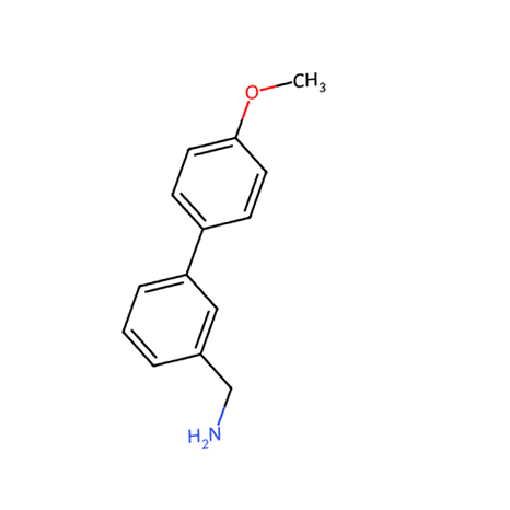 COc1ccc(-c2cccc(CN)c2)cc1